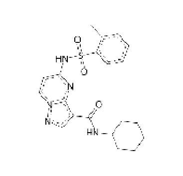 Cc1ccccc1S(=O)(=O)Nc1ccn2ncc(C(=O)NC3CCCCC3)c2n1